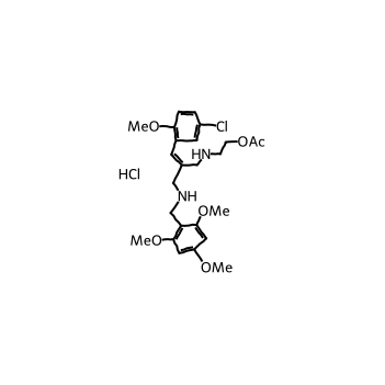 COc1cc(OC)c(CNCC(=Cc2cc(Cl)ccc2OC)CNCCOC(C)=O)c(OC)c1.Cl